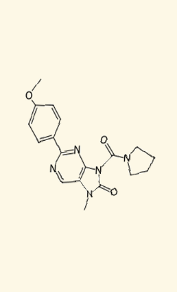 COc1ccc(-c2ncc3c(n2)n(C(=O)N2CCCC2)c(=O)n3C)cc1